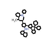 C=C1/C=C(c2ccc(Nc3cccc4ccccc34)c(-c3ccc4c(c3)-c3ccccc3C4(c3ccccc3)c3ccccc3)c2)\C=C/N(c2ccccc2)c2ccccc21